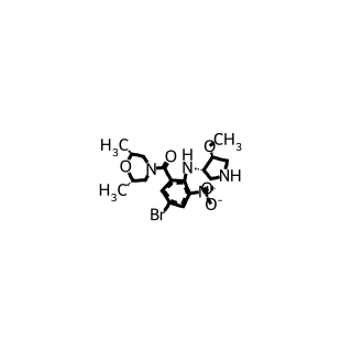 CO[C@H]1CNC[C@@H]1Nc1c(C(=O)N2C[C@@H](C)O[C@@H](C)C2)cc(Br)cc1[N+](=O)[O-]